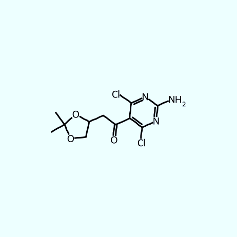 CC1(C)OCC(CC(=O)c2c(Cl)nc(N)nc2Cl)O1